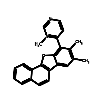 Cc1cc2c(oc3c4ccccc4ccc23)c(-c2ccnc[n+]2C)c1C